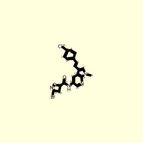 Cn1cc(C=Cc2ccc(Cl)cc2)c2cc(NC(=O)C3CC(Br)=NO3)cnc21